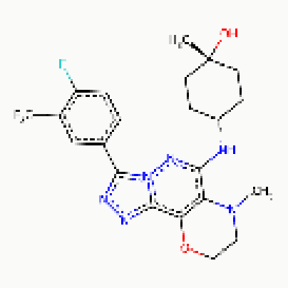 CN1CCOc2c1c(N[C@H]1CC[C@@](C)(O)CC1)nn1c(-c3ccc(F)c(C(F)(F)F)c3)nnc21